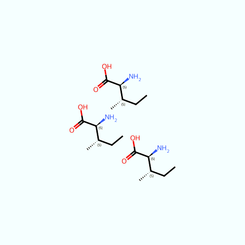 CC[C@H](C)[C@H](N)C(=O)O.CC[C@H](C)[C@H](N)C(=O)O.CC[C@H](C)[C@H](N)C(=O)O